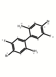 Nc1cc(Br)c(F)cc1-c1cc(F)c(Br)cc1N